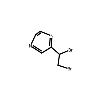 BrCC(Br)c1cnccn1